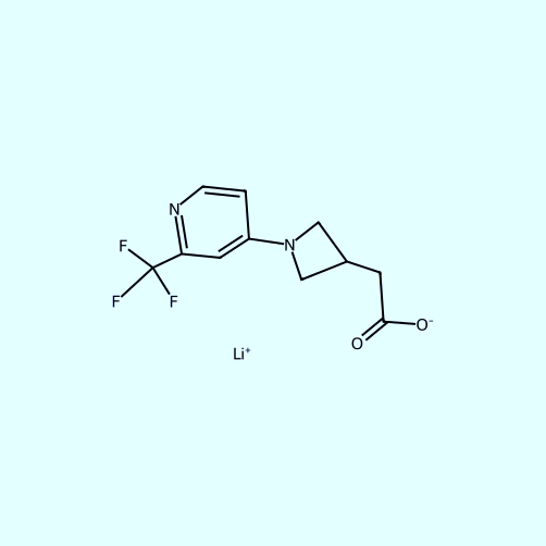 O=C([O-])CC1CN(c2ccnc(C(F)(F)F)c2)C1.[Li+]